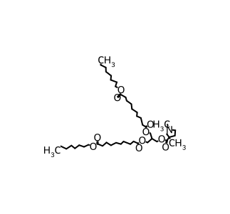 CCCCCCCCOC(=O)CCCCCCCCC(=O)OCC(COC(=O)CCCCCCCCC(=O)OCCCCCCCC)COC(=O)C1(C)CCN(C)C1